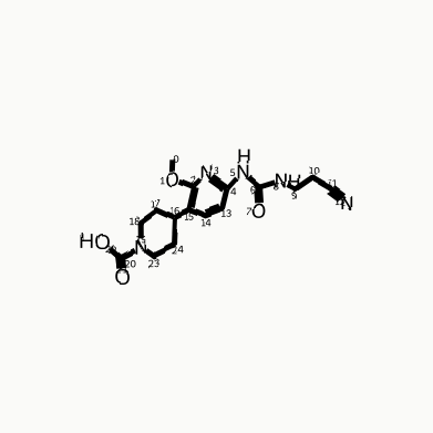 COc1nc(NC(=O)NCCC#N)ccc1C1CCN(C(=O)O)CC1